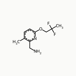 Cc1ccc(OCC(C)(F)F)nc1CN